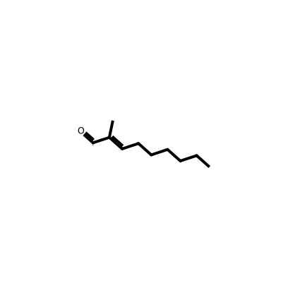 CCCCCC/C=C(\C)[C]=O